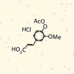 COc1cc(C=CC(=O)O)ccc1OOC(C)=O.Cl